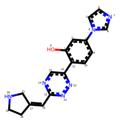 Oc1cc(-n2ccnc2)ccc1-c1cnc(C=C2CCNC2)nn1